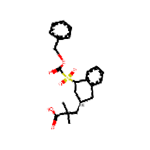 CC(C)(C[C@@H]1Cc2ccccc2C(S(=O)(=O)C(=O)OCc2ccccc2)C1)C(=O)O